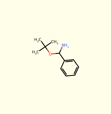 CC(C)(C)OC(N)c1ccccc1